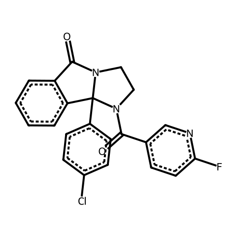 O=C(c1ccc(F)nc1)N1CCN2C(=O)c3ccccc3C12c1ccc(Cl)cc1